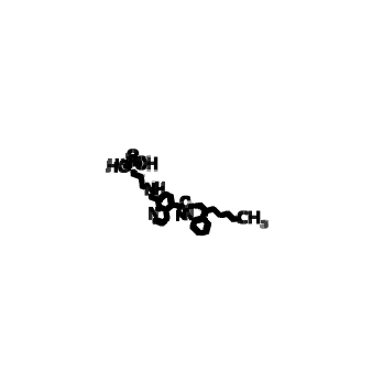 CCCCCC(Cc1nnc(-c2ccc(CNCCCP(=O)(O)O)c3ncccc23)o1)c1ccccc1